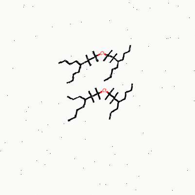 CCCCC(CCC)C(C)(C)C(C)(C)OC(C)(C)C(C)(C)C(CCC)CCCC.CCCCC(CCCC)C(C)(C)C(C)(C)OC(C)(C)C(C)(C)C(CCCC)CCCC